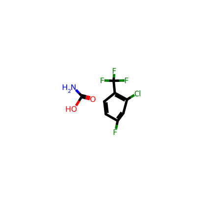 Fc1ccc(C(F)(F)F)c(Cl)c1.NC(=O)O